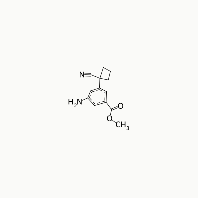 COC(=O)c1cc(N)cc(C2(C#N)CCC2)c1